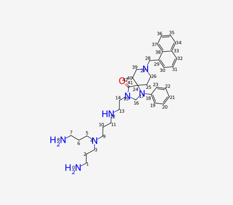 NCCCN(CCCN)CCCNCCN1CN(c2ccccc2)C2(CCN(Cc3cccc4ccccc34)CC2)C1=O